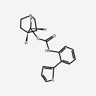 O=C(Nc1ccccc1-c1cccs1)O[C@H]1C[N@]2CC[C@H]1CC2